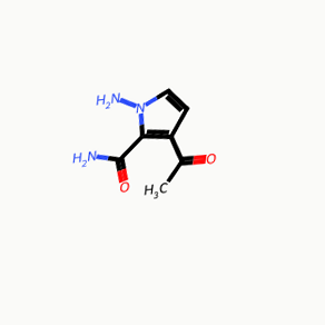 CC(=O)c1ccn(N)c1C(N)=O